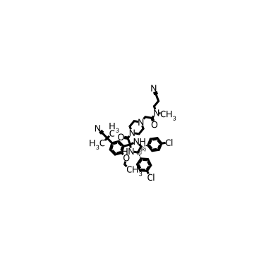 CCOc1ccc(C(C)(C)C#N)cc1C1(C(=O)N2CCN(CC(=O)N(C)CCC#N)CC2)N[C@H](c2ccc(Cl)cc2)[C@H](c2ccc(Cl)cc2)N1